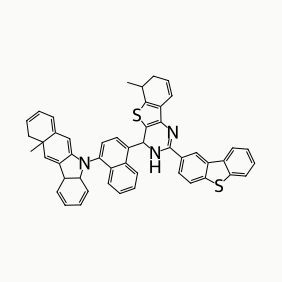 CC1CC=Cc2c1sc1c2N=C(c2ccc3sc4ccccc4c3c2)NC1c1ccc(N2C3=CC4=CC=CCC4(C)C=C3C3C=CC=CC32)c2ccccc12